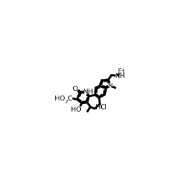 CCNCc1cc2cc3c(cc2n1C)CCC(C)c1c-3[nH]c(=O)c(C(=O)O)c1O.Cl